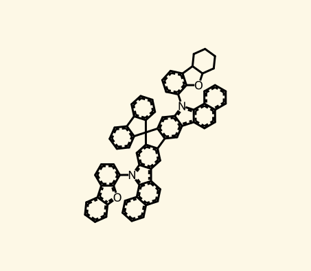 c1ccc2c(c1)-c1ccccc1C21c2cc3c(cc2-c2cc4c5ccc6ccccc6c5n(-c5cccc6c5oc5ccccc56)c4cc21)c1ccc2ccccc2c1n3-c1cccc2c1OC1CCCCC21